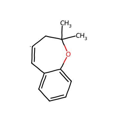 CC1(C)C[C]=Cc2ccccc2O1